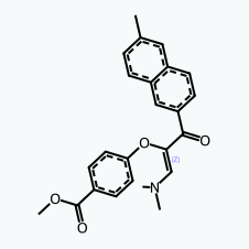 COC(=O)c1ccc(O/C(=C\N(C)C)C(=O)c2ccc3cc(C)ccc3c2)cc1